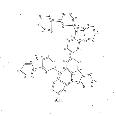 Cc1ccc(N(c2ccc3sc4ccccc4c3c2)c2cc(-c3ccc4c(c3)c3ccccc3n4-c3cccc(-c4ccccc4)c3)cc3c2sc2ccccc23)cc1